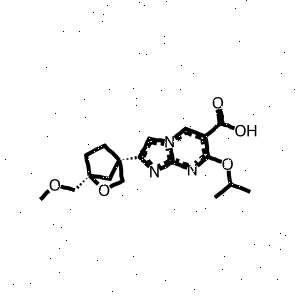 COC[C@@]12CC[C@@](c3cn4cc(C(=O)O)c(OC(C)C)nc4n3)(CO1)C2